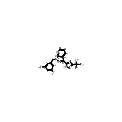 Fc1cc(F)cc(Cn2nc(-c3nc(C(F)(F)F)n[nH]3)c3cccnc32)c1